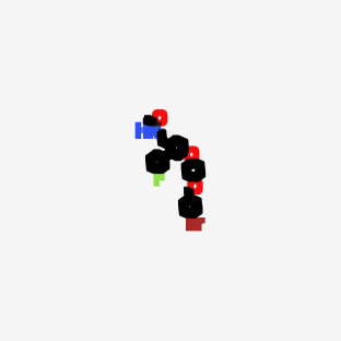 CC(=O)NCCc1ccc(OC2CCC(OCc3ccc(Br)cc3)CC2)cc1-c1cccc(F)c1